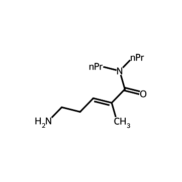 CCCN(CCC)C(=O)C(C)=CCCN